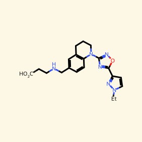 CCn1ccc(-c2nc(N3CCCc4cc(CNCCC(=O)O)ccc43)no2)n1